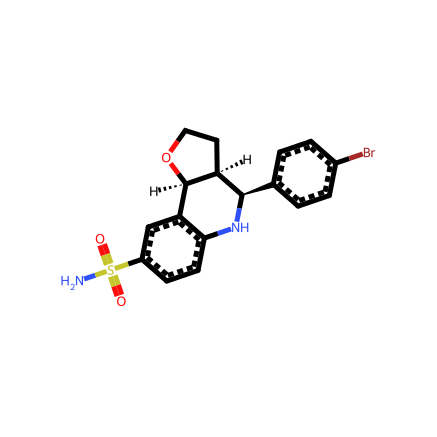 NS(=O)(=O)c1ccc2c(c1)[C@H]1OCC[C@H]1[C@@H](c1ccc(Br)cc1)N2